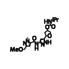 COCc1cc(C(=O)Nc2cc(C3CC(OC(=O)NC(C)C)CO3)[nH]n2)n(C)n1